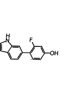 Oc1c[c]c(-c2ccc3cc[nH]c3c2)c(F)c1